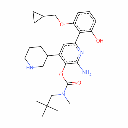 CN(CC(C)(C)C)C(=O)Oc1c(C2CCCNC2)cc(-c2c(O)cccc2OCC2CC2)nc1N